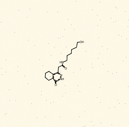 O=C(Cc1n[nH]c(=O)c2c1CCCC2)NCCCCCCO